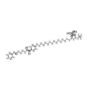 C[N+](C)(C)CC(CCCCCCCCCCCCCCCCCCc1ccc(NC(=O)CCCCOCc2ccccc2)cc1)OP(=O)(O)O